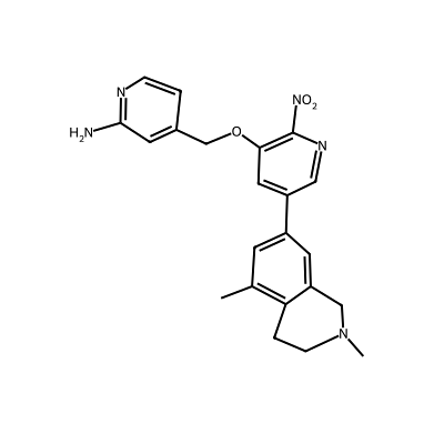 Cc1cc(-c2cnc([N+](=O)[O-])c(OCc3ccnc(N)c3)c2)cc2c1CCN(C)C2